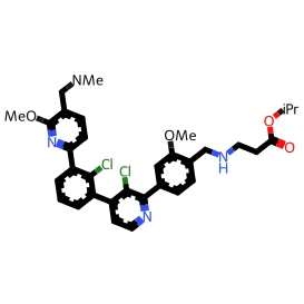 CNCc1ccc(-c2cccc(-c3ccnc(-c4ccc(CNCCC(=O)OC(C)C)c(OC)c4)c3Cl)c2Cl)nc1OC